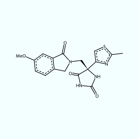 COc1ccc2c(c1)C(=O)N(C[C@@]1(c3csc(C)n3)NC(=O)NC1=O)C2